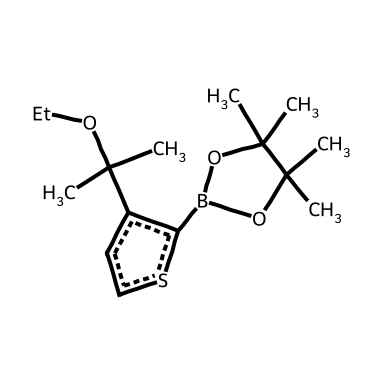 CCOC(C)(C)c1ccsc1B1OC(C)(C)C(C)(C)O1